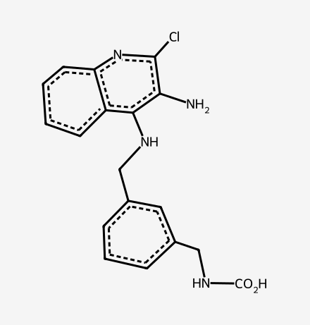 Nc1c(Cl)nc2ccccc2c1NCc1cccc(CNC(=O)O)c1